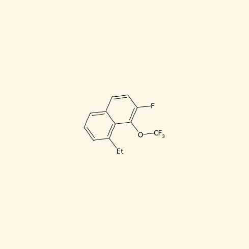 CCc1cccc2ccc(F)c(OC(F)(F)F)c12